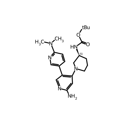 CN(C)c1ccc(-c2cnc(N)cc2N2CCC[C@H](NC(=O)OC(C)(C)C)C2)cn1